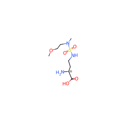 COCCN(C)S(=O)(=O)NCC[C@H](N)C(=O)O